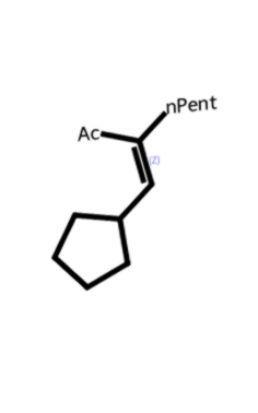 CCCCC/C(=C/C1CCCC1)C(C)=O